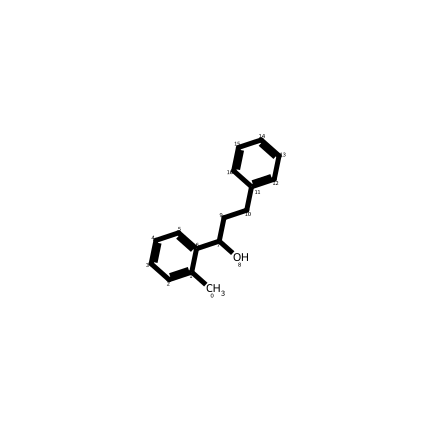 Cc1ccccc1C(O)CCc1ccccc1